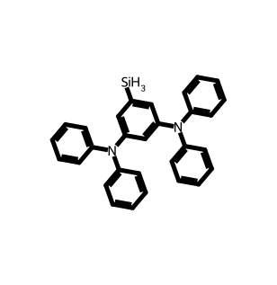 [SiH3]c1cc(N(c2ccccc2)c2ccccc2)cc(N(c2ccccc2)c2ccccc2)c1